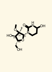 CO[C@]1(F)[C@H](O)[C@@H](CO)O[C@H]1N1CCC(O)NC1=O